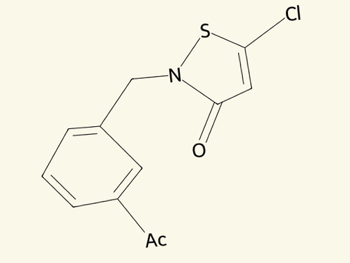 CC(=O)c1cccc(Cn2sc(Cl)cc2=O)c1